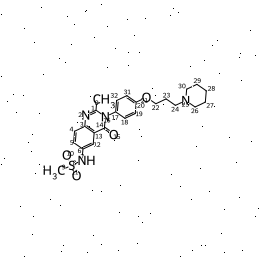 Cc1nc2ccc(NS(C)(=O)=O)cc2c(=O)n1-c1ccc(OCCCN2CCCCC2)cc1